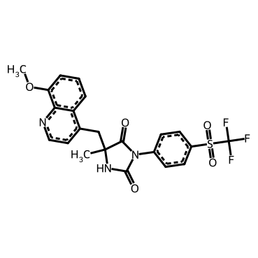 COc1cccc2c(CC3(C)NC(=O)N(c4ccc(S(=O)(=O)C(F)(F)F)cc4)C3=O)ccnc12